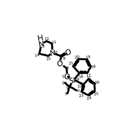 CC(C)(C)[Si](OCOC(=O)N1CCNCC1)(c1ccccc1)c1ccccc1